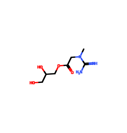 CN(CC(=O)OCC(O)CO)C(=N)N